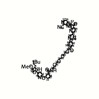 COC(=O)[C@H](CCC(C)(C)C)NC(=O)c1ccc(Oc2cccc(C(=O)NCCOCCOCCOCCOCC(=O)N3CCN(c4ncc(-c5ccc6c(n5)N(Cc5cccnc5C#N)C(C)(C)C6=O)cn4)C[C@H]3C)c2)nc1